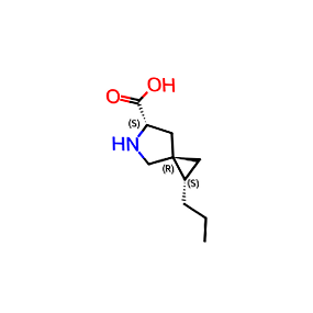 CCC[C@H]1C[C@]12CN[C@H](C(=O)O)C2